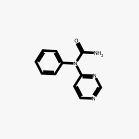 NC(=O)N(c1ccccc1)c1ccncn1